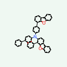 c1ccc(-c2ccc(N(c3ccc(-c4cccc5c4oc4ccccc45)cc3)c3ccc4c(oc5ccccc54)c3-c3ccccc3)cc2)cc1